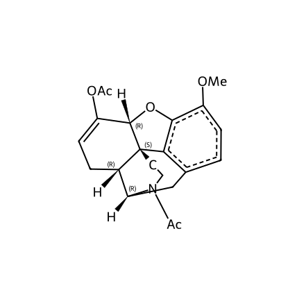 COc1ccc2c3c1O[C@H]1C(OC(C)=O)=CC[C@H]4[C@@H](C2)N(C(C)=O)CC[C@]314